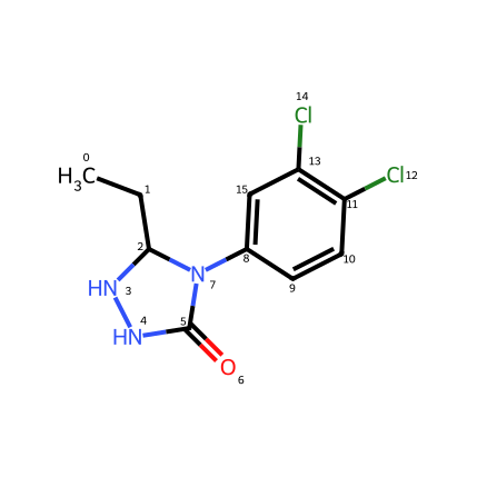 CCC1NNC(=O)N1c1ccc(Cl)c(Cl)c1